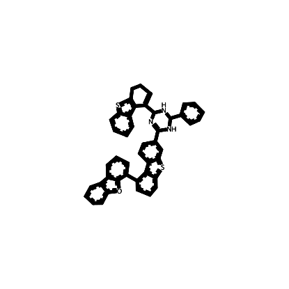 C1=C(C2N=C(c3ccc4c(c3)sc3cccc(-c5cccc6c5oc5ccccc56)c34)NC(c3ccccc3)N2)c2c(sc3ccccc23)CC1